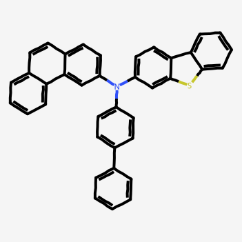 c1ccc(-c2ccc(N(c3ccc4c(c3)sc3ccccc34)c3ccc4ccc5ccccc5c4c3)cc2)cc1